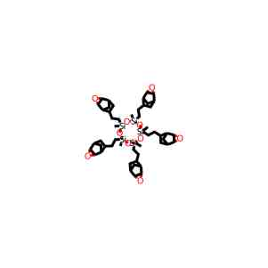 C[Si]1(CCC2CC3CC2C2OC32)O[Si](C)(CCC2CC3CC2C2OC32)O[Si](C)(CCC2CC3CC2C2OC32)O[Si](C)(CCC2CC3CC2C2OC32)O[Si](C)(CCC2CC3CC2C2OC32)O1